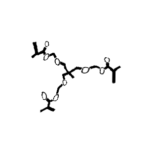 C=C(C)C(=O)OCOCC(C)(COCOC(=O)C(=C)C)COCOC(=O)C(=C)C